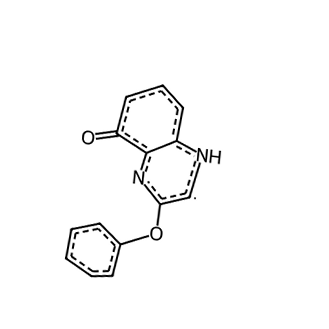 O=c1cccc2[nH][c]c(Oc3ccccc3)nc1-2